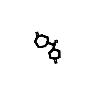 O=C(C1CCNCC1)N1CCCNCC1